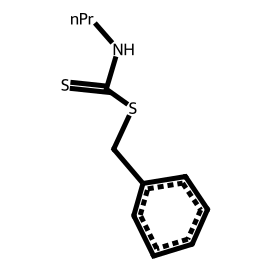 CCCNC(=S)SCc1ccccc1